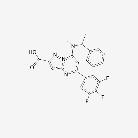 CC(c1ccccc1)N(C)c1cc(-c2cc(F)c(F)c(F)c2)nc2cc(C(=O)O)nn12